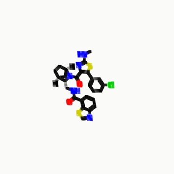 CNc1nc(C(=O)N2[C@@H]3CC[C@@H](C3)[C@H]2CNC(=O)c2cccc3ncsc23)c(-c2cccc(Cl)c2)s1